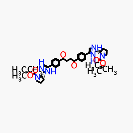 CC(C)(C)OC(=O)N1CCC[C@H]1C1NC=C(c2ccc(C(=O)CCC(=O)c3ccc(C4=CNC([C@@H]5CCCN5C(=O)OC(C)(C)C)N4)cc3)cc2)N1